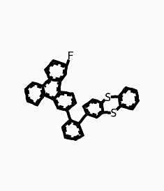 Fc1ccc2c3ccccc3c3cc(-c4ccccc4-c4ccc5c(c4)Sc4ccccc4S5)ccc3c2c1